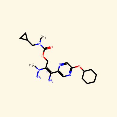 CN(CC1CC1)C(=O)OC/C(=C(/N)c1cnc(OC2CCCCC2)cn1)N(C)N